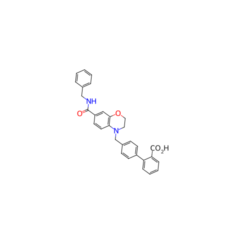 O=C(NCc1ccccc1)c1ccc2c(c1)OCCN2Cc1ccc(-c2ccccc2C(=O)O)cc1